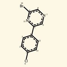 Clc1ccc(-c2cncc(Br)n2)cc1